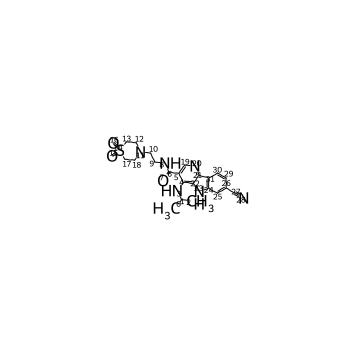 CC(C)Nc1c(C(=O)NCCN2CCS(=O)(=O)CC2)cnc2c1[nH]c1cc(C#N)ccc12